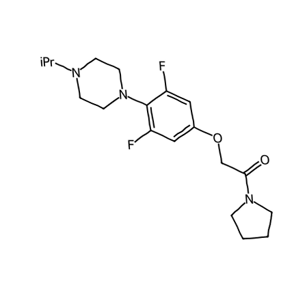 CC(C)N1CCN(c2c(F)cc(OCC(=O)N3CCCC3)cc2F)CC1